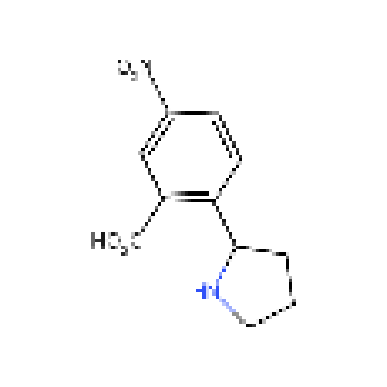 O=C(O)c1cc([N+](=O)[O-])ccc1C1CCCN1